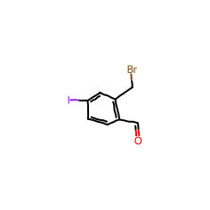 O=Cc1ccc(I)cc1CBr